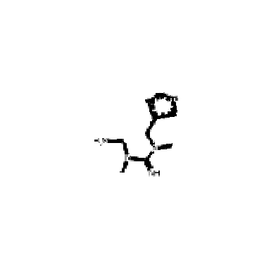 CN(CN)C(=N)N(C)Cc1cc[nH]c1